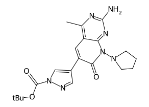 Cc1nc(N)nc2c1cc(-c1cnn(C(=O)OC(C)(C)C)c1)c(=O)n2N1CCCC1